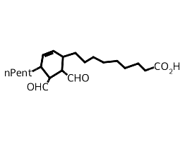 CCCCCC1C=CC(CCCCCCCCC(=O)O)C(C=O)C1C=O